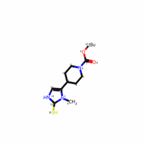 CN1C(C2CCN(C(=O)OC(C)(C)C)CC2)=CNC1S